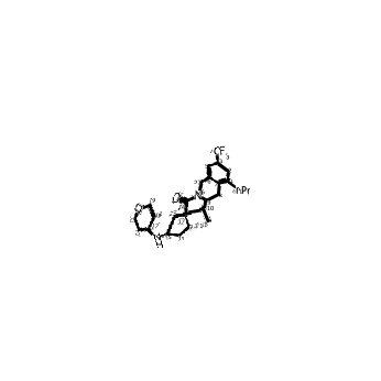 CCCc1cc(C(F)(F)F)cc2c1CC1C(C)[C@@]3(CC[C@@H](NC4CCOCC4)C3)C(=O)N1C2